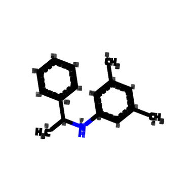 Cc1cc(C)cc(NC(C)c2ccccc2)c1